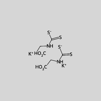 O=C(O)CNC(=S)[S-].O=C(O)CNC(=S)[S-].[K+].[K+]